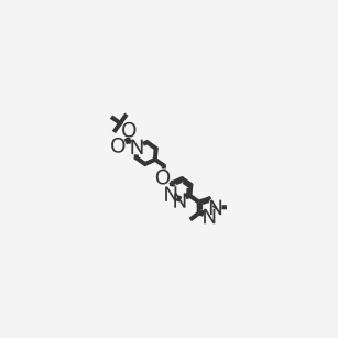 Cc1nn(C)cc1-c1ccc(OCC2CCN(C(=O)OC(C)(C)C)CC2)nn1